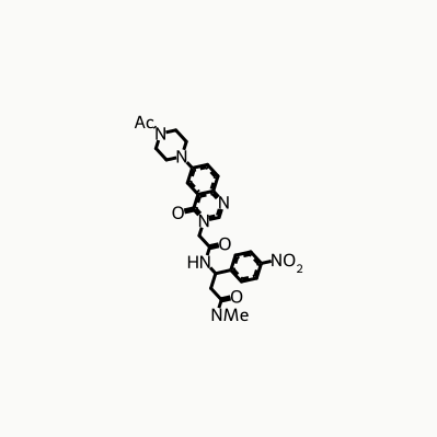 CNC(=O)CC(NC(=O)Cn1cnc2ccc(N3CCN(C(C)=O)CC3)cc2c1=O)c1ccc([N+](=O)[O-])cc1